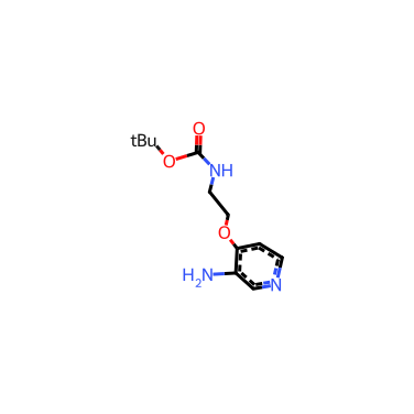 CC(C)(C)OC(=O)NCCOc1ccncc1N